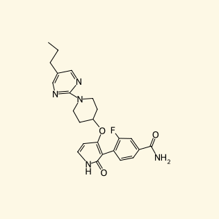 CCCc1cnc(N2CCC(Oc3cc[nH]c(=O)c3-c3ccc(C(N)=O)cc3F)CC2)nc1